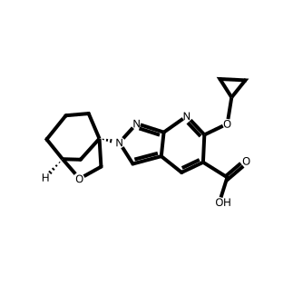 O=C(O)c1cc2cn([C@@]34CCC[C@@H](C3)OC4)nc2nc1OC1CC1